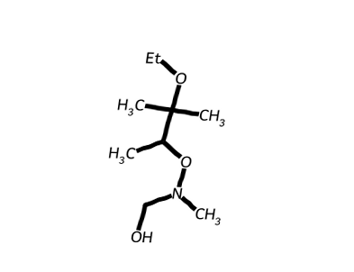 CCOC(C)(C)C(C)ON(C)CO